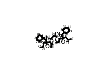 CCCC(O)(CCC)[C@H](NC(=O)CC(=O)N[C@H](c1ccccc1)C(O)(CCC)CCC)c1ccccc1